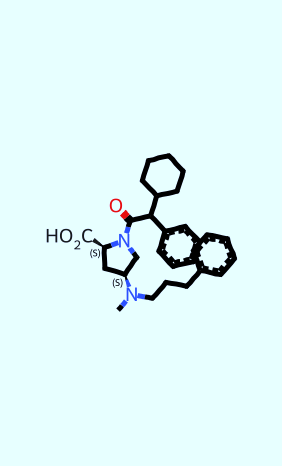 CN(CCCc1ccccc1)[C@H]1C[C@@H](C(=O)O)N(C(=O)C(c2ccccc2)C2CCCCC2)C1